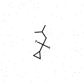 CC(C)CC(F)(F)C1CC1